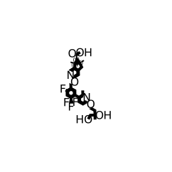 Cc1nc(OCCC(C)(O)CO)ccc1-c1cc(COc2cc3c(cn2)[C@]2(C)[C@@H](C(=O)O)[C@]2(C)C3)c(F)cc1C(F)(F)F